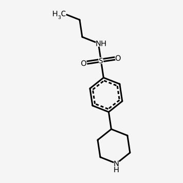 CCCNS(=O)(=O)c1ccc(C2CCNCC2)cc1